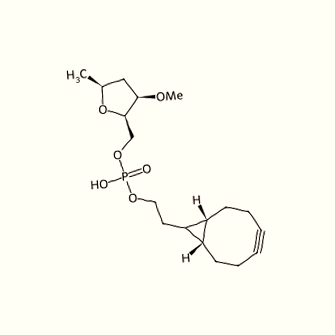 CO[C@@H]1C[C@H](C)O[C@@H]1COP(=O)(O)OCCC1[C@H]2CCC#CCC[C@@H]12